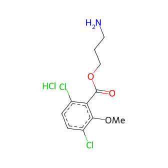 COc1c(Cl)ccc(Cl)c1C(=O)OCCCN.Cl